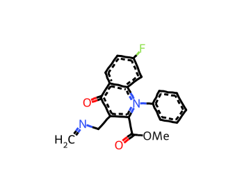 C=NCc1c(C(=O)OC)n(-c2ccccc2)c2cc(F)ccc2c1=O